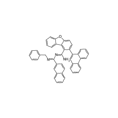 N/C(=N\C(=N/Cc1ccccc1)c1ccc2ccccc2c1)c1c(-c2cc3ccccc3c3ccccc23)ccc2oc3ccccc3c12